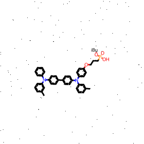 CCC(C)OP(=O)(O)CCCOc1ccc(N(c2ccc(-c3ccc(N(c4ccccc4)c4cccc(C)c4)cc3)cc2)c2cccc(C)c2)cc1